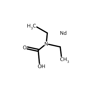 CCN(CC)C(=O)O.[Nd]